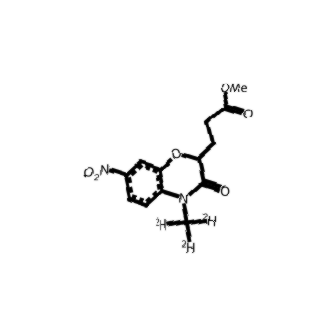 [2H]C([2H])([2H])N1C(=O)C(CCC(=O)OC)Oc2cc([N+](=O)[O-])ccc21